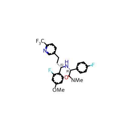 CNC(=O)[C@H](N[C@@H](CCc1ccc(C(F)(F)F)nc1)c1ccc(OC)cc1F)c1ccc(F)cc1